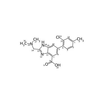 Cc1ccc(-c2cc(C(=O)O)c3nc(CN(C)C)[nH]c3c2)c(Cl)c1